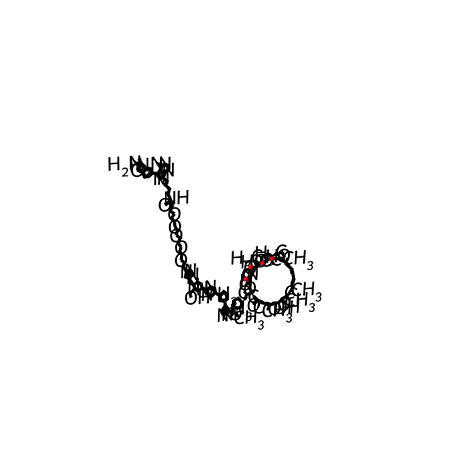 CO[C@H]1C[C@@H]2CC[C@@H](C)[C@@](O)(O2)C(=O)C(=O)N2CCCC[C@H]2C(=O)O[C@H]([C@H](C)C[C@@H]2CC[C@H](n3nncc3-c3cccc(-c4cnc(N5CCN(Cc6cn(CCOCCOCCOCOCCOCCC(=O)NCCCCn7nc(-c8ccc9oc(N)nc9c8)c8c(N)ncnc87)nn6)C(CO)C5)nc4)c3)[C@H](OC)C2)CC(=O)[C@H](C)/C=C(\C)[C@@H](O)[C@@H](O)C(=O)[C@H](C)C[C@H](C)/C=C/C=C/C=C/1C